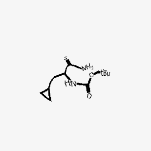 CC(C)(C)OC(=O)NC(CC1CC1)C(N)=S